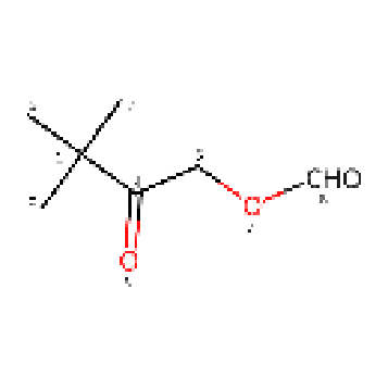 CC(C)(C)C(=O)COC=O